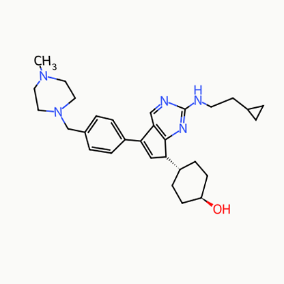 CN1CCN(Cc2ccc(C3=CC([C@H]4CC[C@H](O)CC4)c4nc(NCCC5CC5)ncc43)cc2)CC1